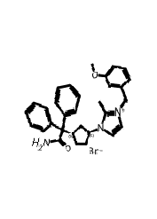 COc1cccc(C[n+]2ccn([C@H]3CC[C@@H](C(C(N)=O)(c4ccccc4)c4ccccc4)C3)c2C)c1.[Br-]